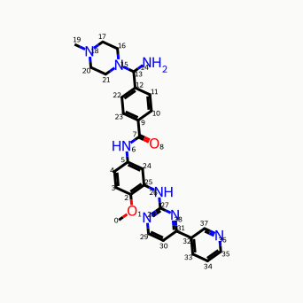 COc1ccc(NC(=O)c2ccc(C(N)N3CCN(C)CC3)cc2)cc1Nc1nccc(-c2cccnc2)n1